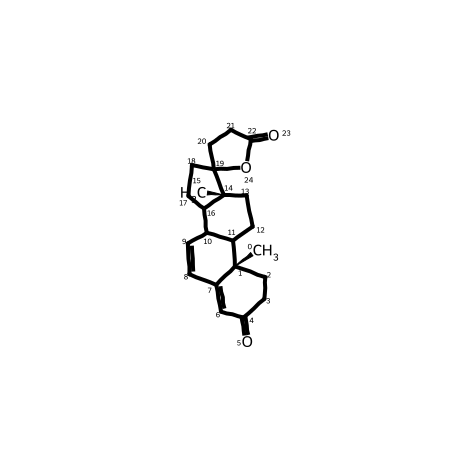 C[C@@]12CCC(=O)C=C1C=CC1C2CC[C@]2(C)C1CCC21CCC(=O)O1